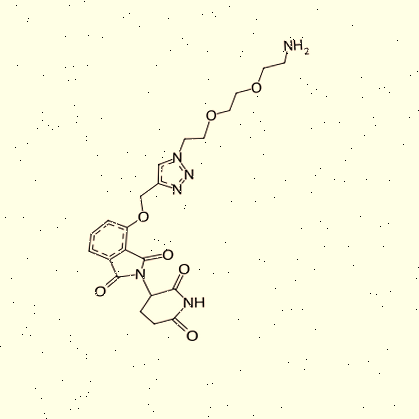 NCCOCCOCCn1cc(COc2cccc3c2C(=O)N(C2CCC(=O)NC2=O)C3=O)nn1